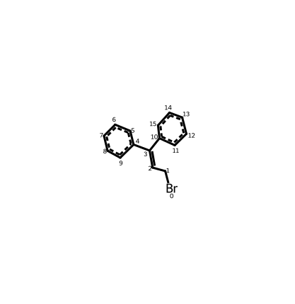 BrCC=C(c1ccccc1)c1ccccc1